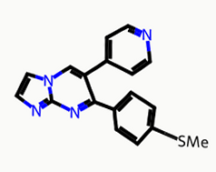 CSc1ccc(-c2nc3nccn3cc2-c2ccncc2)cc1